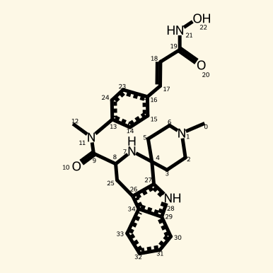 CN1CCC2(CC1)NC(C(=O)N(C)c1ccc(/C=C/C(=O)NO)cc1)Cc1c2[nH]c2ccccc12